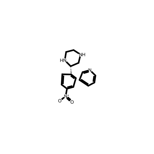 O=[N+]([O-])c1ccc([C@H]2CNCCN2)cc1.c1ccncc1